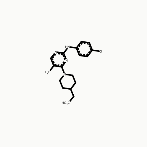 O=C(O)CC1CCN(c2nc(Nc3ccc(Cl)cc3)ncc2C(F)(F)F)CC1